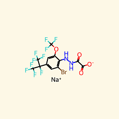 O=C([O-])C(=O)NNc1c(Br)cc(C(F)(C(F)(F)F)C(F)(F)F)cc1OC(F)(F)F.[Na+]